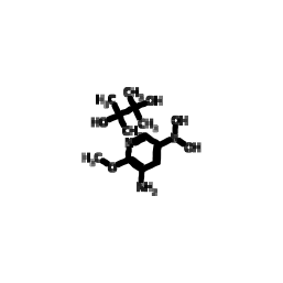 CC(C)(O)C(C)(C)O.COc1ncc(B(O)O)cc1N